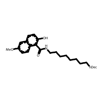 CCCCCCCCCCCCCCCCCCNC(=O)c1c(O)ccc2cc(OC)ccc12